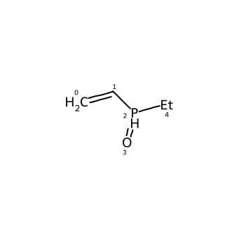 C=C[PH](=O)CC